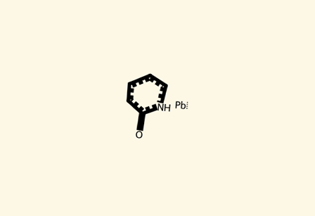 O=c1cccc[nH]1.[Pb]